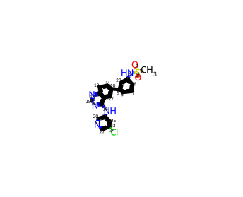 CS(=O)(=O)Nc1cccc(-c2ccc3ncnc(Nc4cncc(Cl)c4)c3c2)c1